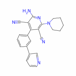 N#Cc1c(N)nc(N2CCCCC2)c(C#N)c1-c1cccc(-c2cccnc2)c1